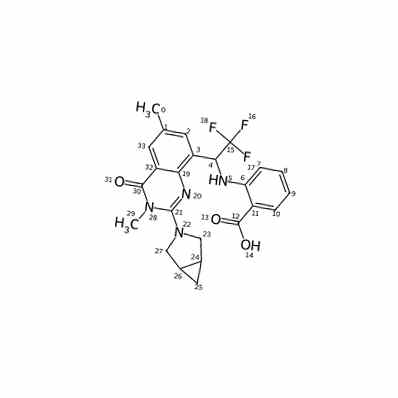 Cc1cc(C(Nc2ccccc2C(=O)O)C(F)(F)F)c2nc(N3CC4CC4C3)n(C)c(=O)c2c1